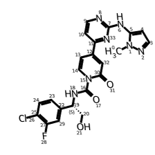 Cn1nccc1Nc1nccc(-c2ccn(C(=O)N[C@H](CO)c3ccc(Cl)c(F)c3)c(=O)c2)n1